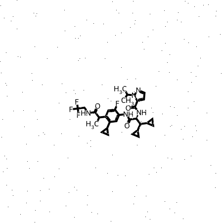 CC(C(=O)NCC(F)(F)F)c1cc(F)c(NC(=O)[C@@H](NC(=O)c2ccnn2C(C)C)C(C2CC2)C2CC2)cc1C1CC1